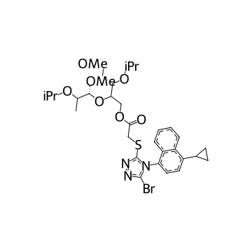 COC[C@H](OC(C)C)C(COC(=O)CSc1nnc(Br)n1-c1ccc(C2CC2)c2ccccc12)O[C@@H](OC)C(C)OC(C)C